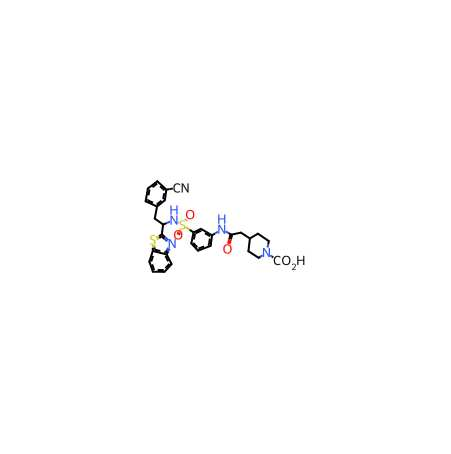 N#Cc1cccc(CC(NS(=O)(=O)c2cccc(NC(=O)CC3CCN(C(=O)O)CC3)c2)c2nc3ccccc3s2)c1